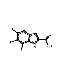 O=C(O)c1cc2cc(I)c(F)c(F)c2[nH]1